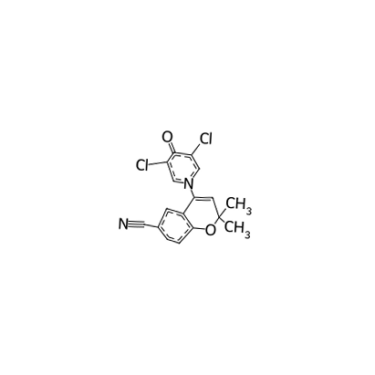 CC1(C)C=C(n2cc(Cl)c(=O)c(Cl)c2)c2cc(C#N)ccc2O1